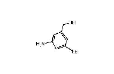 CCc1cc(N)cc(CO)c1